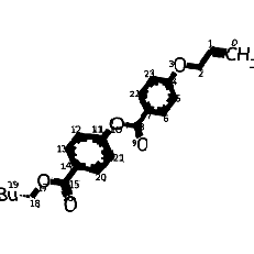 C=CCOc1ccc(C(=O)Oc2ccc(C(=O)OC[C@@H](C)CC)cc2)cc1